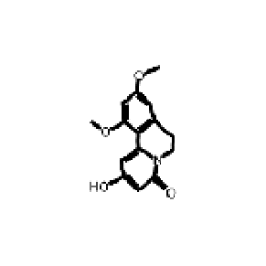 COc1cc2c(c(OC)c1)-c1cc(O)cc(=O)n1CC2